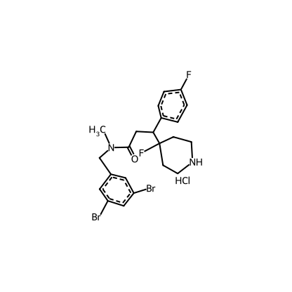 CN(Cc1cc(Br)cc(Br)c1)C(=O)CC(c1ccc(F)cc1)C1(F)CCNCC1.Cl